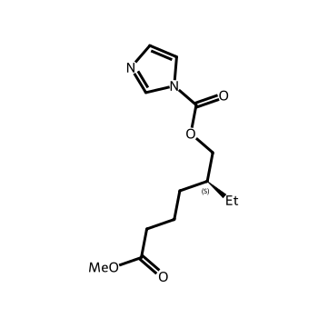 CC[C@@H](CCCC(=O)OC)COC(=O)n1ccnc1